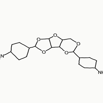 NC1CCC(C2OCC3OC4OC(C5CCC(N)CC5)OC4C3O2)CC1